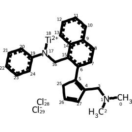 CN(C)CC1=C(c2ccc3ccccc3c2C[N]([Ti+2])c2ccccc2)CC=C1.[Cl-].[Cl-]